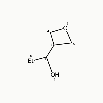 CCC(O)C1COC1